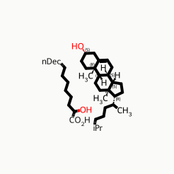 CC(C)CCCC(C)[C@H]1CC[C@H]2[C@@H]3CC=C4C[C@@H](O)CC[C@]4(C)[C@H]3CC[C@]12C.CCCCCCCCCCCCCCCCC(O)C(=O)O